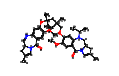 COc1cc2c(cc1OCC(C)(C)CC(C)(C)Oc1cc3c(cc1OC)C(=O)N1C=C(C)CC1C=N3)N(C(C)C)CC1CC(C)=CN1C2=O